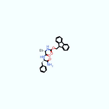 CC[C@H](NC(=O)OCC1c2ccccc2-c2ccccc21)C(=O)N[C@@H](Cc1ccccc1)C(N)=O